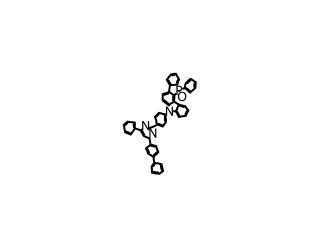 O=P1(c2ccccc2)c2ccccc2-c2ccc3c(c21)c1ccccc1n3-c1ccc(-c2nc(-c3ccccc3)cc(-c3ccc(-c4ccccc4)cc3)n2)cc1